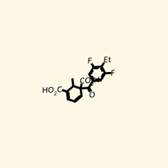 CCc1c(F)cc(C(=O)C2(C(=O)O)C=CC=C(C(=O)O)C2C)cc1F